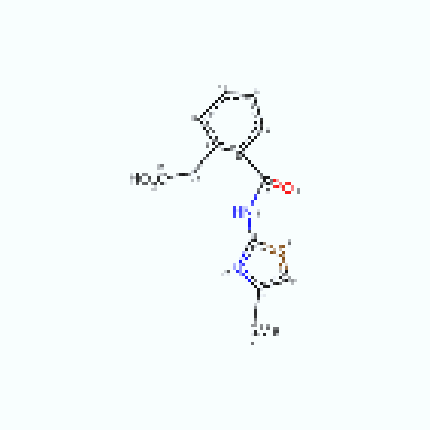 CSc1csc(NC(=O)c2ccccc2CC(=O)O)n1